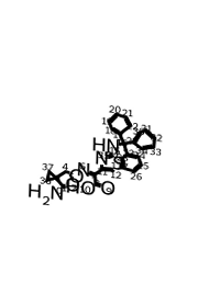 NC(=O)C1(CON=C(C(=O)O)c2csc(NC(c3ccccc3)(c3ccccc3)c3ccccc3)n2)CC1